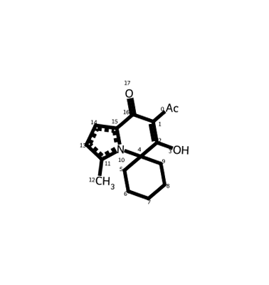 CC(=O)C1=C(O)C2(CCCCC2)n2c(C)ccc2C1=O